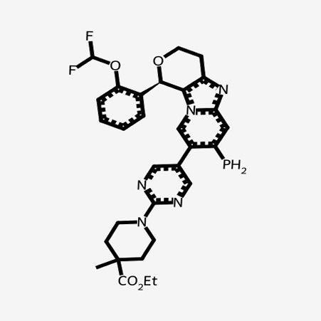 CCOC(=O)C1(C)CCN(c2ncc(-c3cn4c5c(nc4cc3P)CCO[C@@H]5c3ccccc3OC(F)F)cn2)CC1